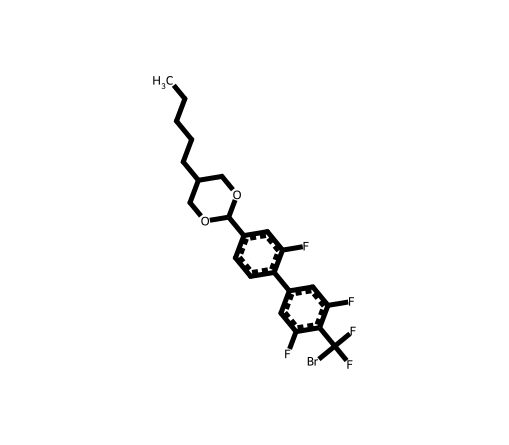 CCCCCC1COC(c2ccc(-c3cc(F)c(C(F)(F)Br)c(F)c3)c(F)c2)OC1